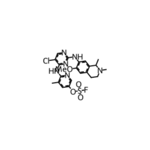 COc1cc2c(cc1Nc1ncc(Cl)c(Nc3ncc(OS(=O)(=O)F)cc3C)n1)C(C)N(C)CC2